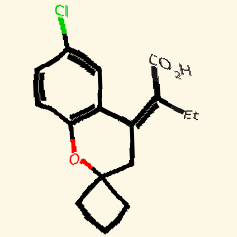 CCC(C(=O)O)=C1CC2(CCC2)Oc2ccc(Cl)cc21